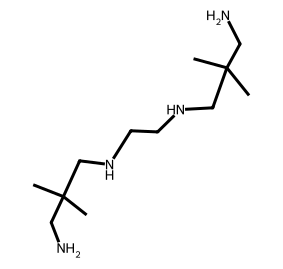 CC(C)(CN)CNCCNCC(C)(C)CN